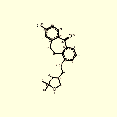 CC1(C)OC[C@H](COc2cccc3c2CCc2cc(Cl)ccc2C3=O)O1